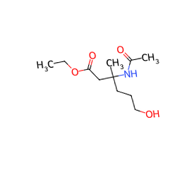 CCOC(=O)CC(C)(CCCO)NC(C)=O